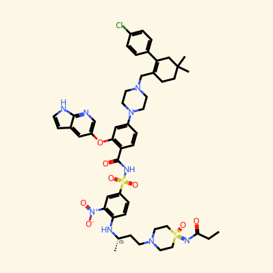 CCC(=O)N=S1(=O)CCN(CC[C@H](C)Nc2ccc(S(=O)(=O)NC(=O)c3ccc(N4CCN(CC5=C(c6ccc(Cl)cc6)CC(C)(C)CC5)CC4)cc3Oc3cnc4[nH]ccc4c3)cc2[N+](=O)[O-])CC1